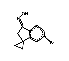 O/N=C1/CC2(CC2)c2cc(Br)ccc21